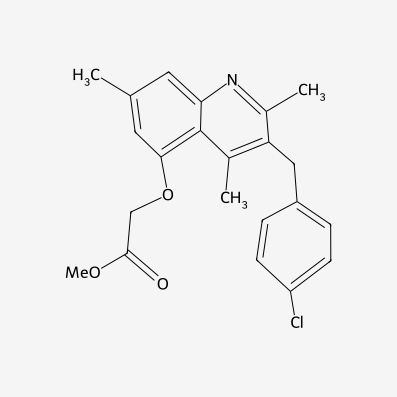 COC(=O)COc1cc(C)cc2nc(C)c(Cc3ccc(Cl)cc3)c(C)c12